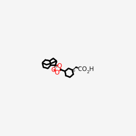 O=C(O)C[C@H]1CCCC(C2OO[C@@]3(O2)C2CC4CCC3C(C4)C2)C1